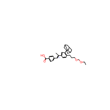 CCOCOCCCc1ccc(/C(C)=C/c2ccc(C(=O)O)cc2)cc1C12CC3CC(CC(C3)C1)C2